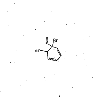 C=CC1(Br)C=CC=CC1Br